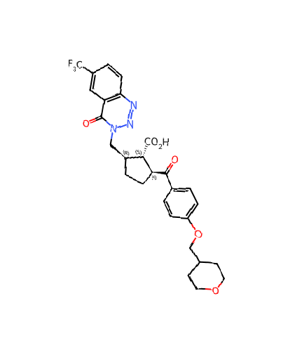 O=C(O)[C@H]1[C@H](Cn2nnc3ccc(C(F)(F)F)cc3c2=O)CC[C@@H]1C(=O)c1ccc(OCC2CCOCC2)cc1